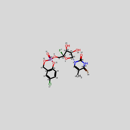 Cc1cn([C@@H]2O[C@](F)(COP3(=O)OCc4cc(Cl)ccc4O3)[C@@H](O)[C@H]2O)c(=O)[nH]c1=S